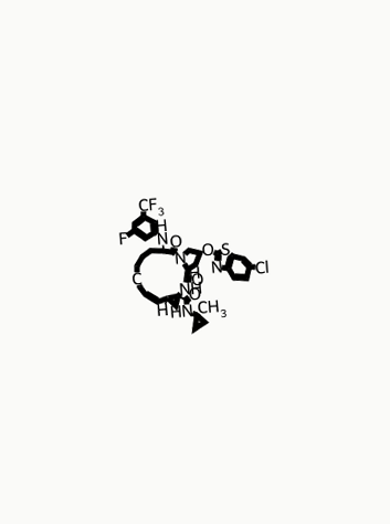 CC1(NC(=O)[C@@]23C[C@H]2/C=C\CCCCC[C@H](Nc2cc(F)cc(C(F)(F)F)c2)C(=O)N2C[C@H](Oc4nc5ccc(Cl)cc5s4)C[C@H]2C(=O)N3)CC1